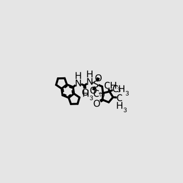 CC1CC(=O)[C@@](C)(CS(=O)(=O)NC(=O)Nc2c3c(cc4c2CCC4)CCC3)C1(C)C